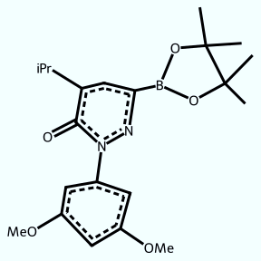 COc1cc(OC)cc(-n2nc(B3OC(C)(C)C(C)(C)O3)cc(C(C)C)c2=O)c1